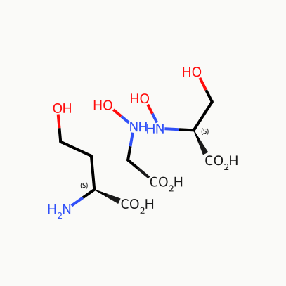 N[C@@H](CCO)C(=O)O.O=C(O)CNO.O=C(O)[C@H](CO)NO